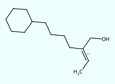 C/C=C(/CO)CCCCC1CCCCC1